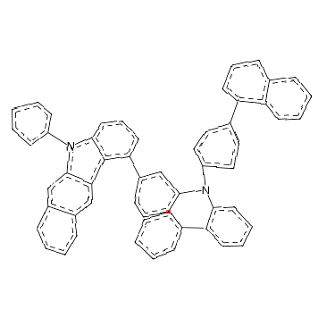 c1ccc(-c2ccccc2N(c2ccc(-c3cccc4ccccc34)cc2)c2cccc(-c3cccc4c3c3cc5ccccc5cc3n4-c3ccccc3)c2)cc1